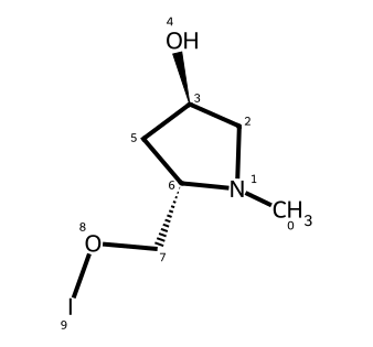 CN1C[C@H](O)C[C@H]1COI